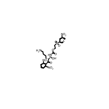 NCCCC[C@@H](C(=O)c1c([N+](=O)[O-])cccc1[N+](=O)[O-])N(O)NC(=O)OCCS(=O)(=O)c1cccc([N+](=O)[O-])c1